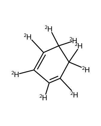 [2H]C1=C([2H])C([2H])([2H])C([2H])([2H])C([2H])=C1[2H]